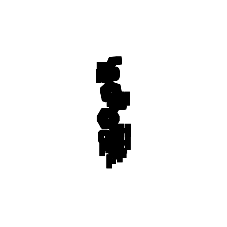 CCc1nnc(-c2ccn3c(-c4cccc(NC(=O)NC(F)C(F)F)c4)cnc3c2)o1